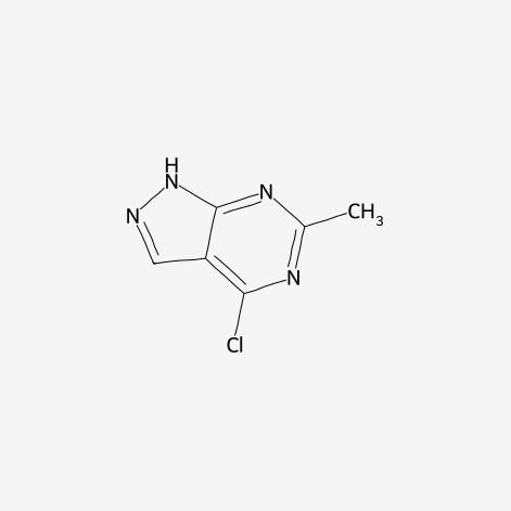 Cc1nc(Cl)c2cn[nH]c2n1